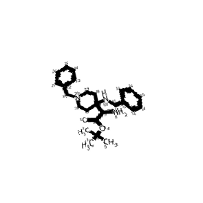 CC(C)(C)OC(=O)C(N)C1(NCc2ccccc2)CCN(Cc2ccccc2)CC1